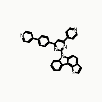 c1ccc2c(c1)c1c3sccc3ccc1n2-c1nc(-c2ccncc2)cc(-c2ccc(-c3ccncc3)cc2)n1